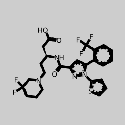 O=C(O)C[C@H](CCN1CCCC(F)(F)C1)NC(=O)c1cc(-c2ccccc2C(F)(F)F)n(-c2cccs2)n1